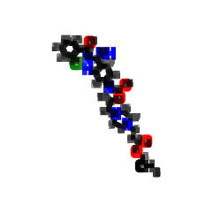 CCOC(=O)CCN1CCN(CC2CN(c3ccc(C(=N)NC(=O)c4ccccc4Cl)cc3)C(=O)O2)CC1